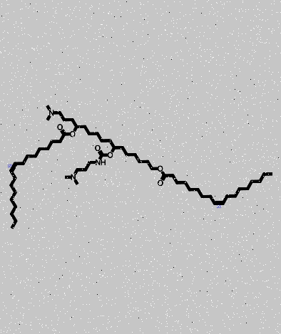 CCCCCCCC/C=C\CCCCCCCC(=O)OCCCCCCC(CCCCCC(CCCN(C)C)OC(=O)CCCCCCC/C=C\CCCCCCCC)OC(=O)NCCCN(C)C